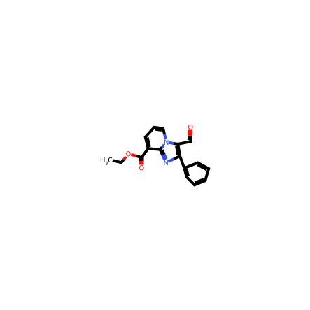 CCOC(=O)c1cccn2c(C=O)c(-c3ccccc3)nc12